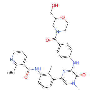 CCCCc1ncccc1C(=O)Nc1cccc(-c2cn(C)c(=O)c(Nc3ccc(C(=O)N4CCOC(CO)C4)cc3)n2)c1C